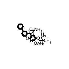 COC(C)(C)COc1cnc2c(c1)[C@@]1(COC(N)=N1)c1cc(-c3ccccc3)ccc1O2